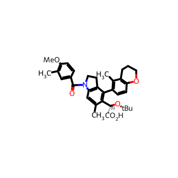 COc1ccc(C(=O)N2CCc3c2cc(C)c([C@H](OC(C)(C)C)C(=O)O)c3-c2ccc3c(c2C)CCCO3)cc1C